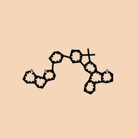 CC1(C)c2ccc(-c3cccc(-c4ccc5ccc6cccnc6c5n4)c3)cc2-c2cc3c4ccccc4c4cccnc4c3cc21